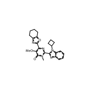 COc1c(-c2nc3c(o2)CCCC3)nc(-c2nc3ccccc3n2C2CCC2)n(C)c1=O